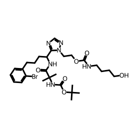 CC(C)(C)OC(=O)NC(C)(C)C(=O)NC(CCCc1ccccc1Br)c1ncnn1CCOC(=O)NCCCCO